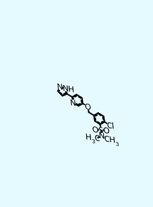 CN(C)S(=O)(=O)c1cc(COc2ccc(-c3ccn[nH]3)nc2)ccc1Cl